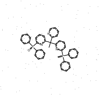 C=P(c1ccccc1)(c1ccccc1)c1cccc(C(C)(c2ccccn2)c2cccc(P(=O)(c3ccccc3)c3ccccc3)n2)n1